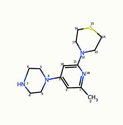 Cc1cc(N2CCNCC2)cc(N2CCSCC2)n1